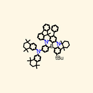 CC(C)(C)c1cc2c3c(c1)C1(C)CCCCC1(C)N3c1cc(-c3ccccc3)c3c4c1B2c1ccc(N(c2ccc5c(c2)C(C)(C)CCC5(C)C)c2ccc5c(c2)C(C)(C)CCC5(C)C)cc1N4c1cccc2c1C3(C)c1ccccc1-2